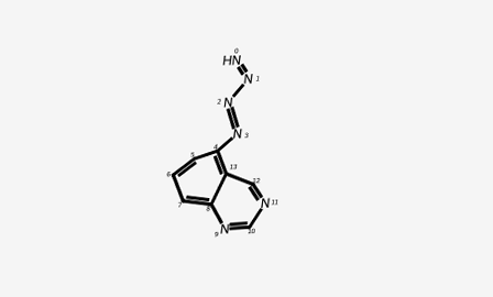 N=NN=Nc1cccc2ncncc12